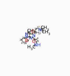 CNc1ccc(-c2nc(OC3CCN(C(C)C)CC3)c3c(C)nn(C4CCCCO4)c3n2)o1